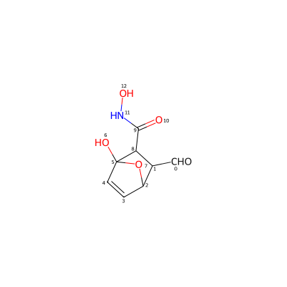 O=CC1C2C=CC(O)(O2)C1C(=O)NO